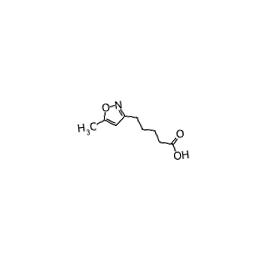 Cc1cc(CCCCC(=O)O)no1